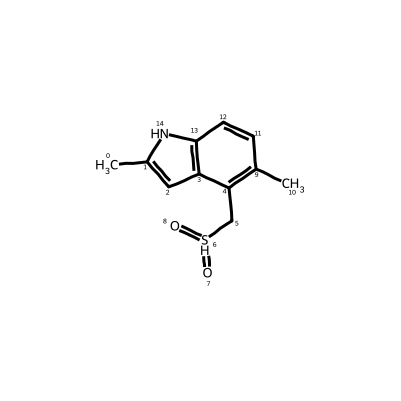 Cc1cc2c(C[SH](=O)=O)c(C)ccc2[nH]1